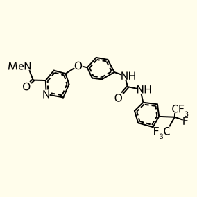 CNC(=O)c1cc(Oc2ccc(NC(=O)Nc3cccc(C(F)(C(F)(F)F)C(F)(F)F)c3)cc2)ccn1